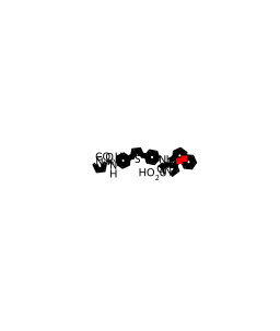 O=C(Nc1ccc(-c2ccc(-c3ccc(NC(=O)[C@]4(Cc5ccccc5)C(Cc5ccccc5)CCN4C(=O)O)cc3)s2)cc1)[C@@H]1CCCN1C(=O)O